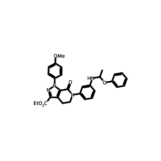 CCOC(=O)c1nn(-c2ccc(OC)cc2)c2c1CCN(c1cccc(NC(C)Oc3ccccc3)c1)C2=O